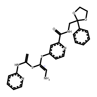 C=C(Nc1ccccn1)S/C(=C\N)Sc1ccnc(C(=O)NCC2(c3ccccc3)OCCO2)c1